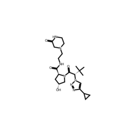 CC(C)(C)[C@@H](C(=O)N1C[C@H](O)C[C@H]1C(=O)NCCN1CCNC(=O)C1)n1cc(C2CC2)nn1